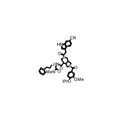 CNC(=O)[C@H](CCCc1ccccc1)NC(=O)C1CN(C(=O)Cc2c[nH]c3cc(C#N)ccc23)CC2CN(C(=O)c3ccc(OC(C)C)c(OC)c3)CC21